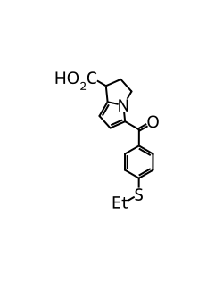 CCSc1ccc(C(=O)c2ccc3n2CCC3C(=O)O)cc1